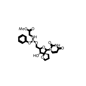 COC(=O)CNP(OCC1OC(n2ccc(=O)[nH]c2=O)[C@@]2(CCCO2)[C@@H]1O)Oc1ccccc1